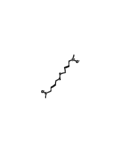 C[S+]([O-])CC=CCSSCC=CC[S+](C)[O-]